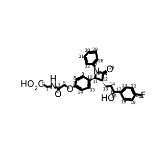 O=C(O)CNC(=O)COc1ccc([C@@H]2[C@@H](CC[C@H](O)c3ccc(F)cc3)C(=O)N2c2ccccc2)cc1